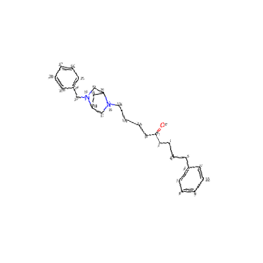 O=C(CCCCc1ccccc1)CCCCN1CC2CC1CN2Cc1ccccc1